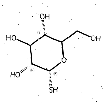 OCC1O[C@H](S)[C@H](O)C(O)[C@@H]1O